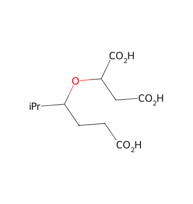 CC(C)C(CCC(=O)O)OC(CC(=O)O)C(=O)O